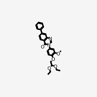 CCOC(COc1ccc(-n2cnc3cc(-c4ccccc4)ccc3c2=O)cc1OC)OCC